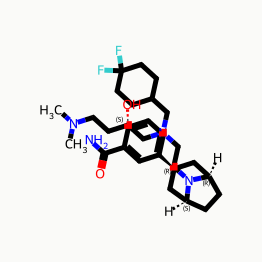 CN(C)CC[C@H](O)CN(CCN1[C@@H]2CC[C@H]1C[C@@H](c1cccc(C(N)=O)c1)C2)CC1CCC(F)(F)CC1